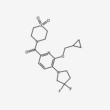 O=C(c1ccc(N2CCC(F)(F)C2)c(OCC2CC2)n1)N1CCS(=O)(=O)CC1